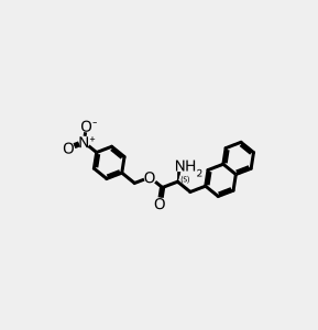 N[C@@H](Cc1ccc2ccccc2c1)C(=O)OCc1ccc([N+](=O)[O-])cc1